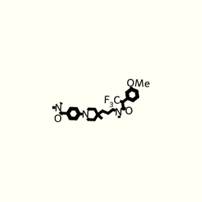 COc1cccc(C(C(=O)N(C)CCCC2(C)CCN(c3ccc(C(=O)N(C)C)cc3)CC2)C(F)(F)F)c1